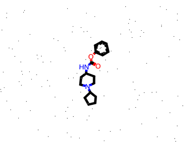 O=C(NC1CCN(C2CCCC2)CC1)Oc1ccccc1